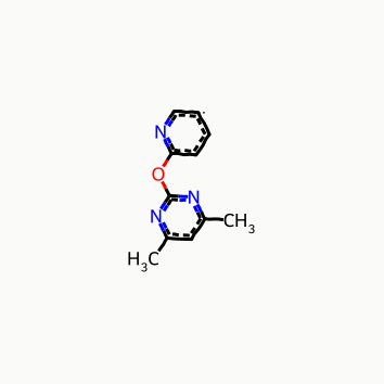 Cc1cc(C)nc(Oc2cc[c]cn2)n1